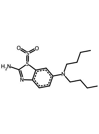 CCCCN(CCCC)c1ccc2c(c1)S(=S(=O)=O)C(N)=N2